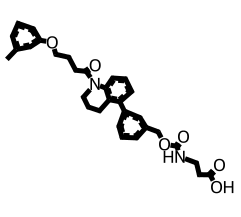 Cc1cccc(OCCCC(=O)N2CCCc3c(-c4cccc(COC(=O)NCCC(=O)O)c4)cccc32)c1